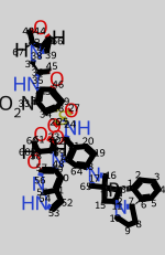 CC(C)c1ccccc1[C@@H]1CCCN1C1CC2(C1)CN(c1ccc(C(=O)NS(=O)(=O)c3cc4c(c([N+](=O)[O-])c3)N[C@@H](CN3C[C@H]5C[C@@H]3CO5)CO4)c(N3c4cc5cc[nH]c5nc4O[C@H]4COC[C@@H]43)c1)C2